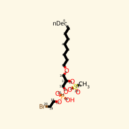 CCCCCCCCCCCCCCCCCCOCC(COP(=O)(O)OCCBr)OS(C)(=O)=O